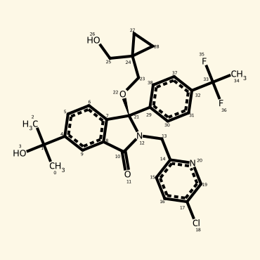 CC(C)(O)c1ccc2c(c1)C(=O)N(Cc1ccc(Cl)cn1)[C@@]2(OCC1(CO)CC1)c1ccc(C(C)(F)F)cc1